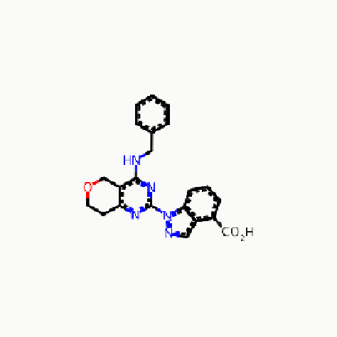 O=C(O)c1cccc2c1cnn2-c1nc2c(c(NCc3ccccc3)n1)COCC2